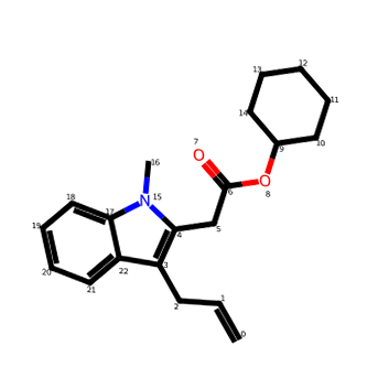 C=CCc1c(CC(=O)OC2CCCCC2)n(C)c2ccccc12